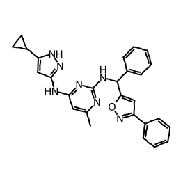 Cc1cc(Nc2cc(C3CC3)[nH]n2)nc(NC(c2ccccc2)c2cc(-c3ccccc3)no2)n1